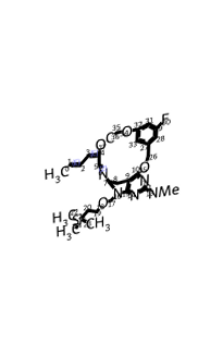 C/C=C/C=C1\C=N/C2Cc3c(nc(NC)nc3N2COCC[Si](C)(C)C)OCc2cc(F)cc(c2)OCCO1